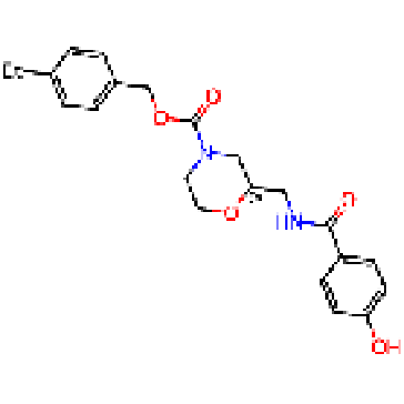 CCc1ccc(COC(=O)N2CCO[C@H](CNC(=O)c3ccc(O)cc3)C2)cc1